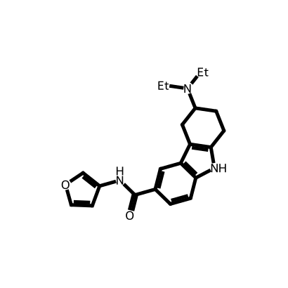 CCN(CC)C1CCc2[nH]c3ccc(C(=O)Nc4ccoc4)cc3c2C1